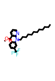 CCCCCCCCCCCCN(c1cccc(C(F)(F)F)c1)c1ncccc1C(=O)OC